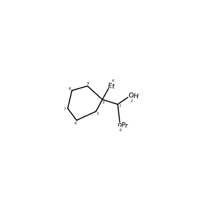 CCCC(O)C1(CC)CCCCC1